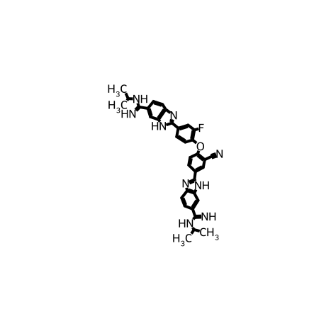 CC(C)NC(=N)c1ccc2nc(-c3ccc(Oc4ccc(-c5nc6ccc(C(=N)NC(C)C)cc6[nH]5)cc4C#N)c(F)c3)[nH]c2c1